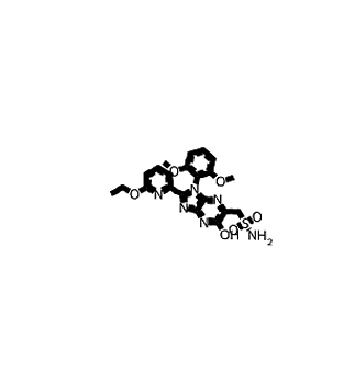 CCOc1cccc(-c2nc3nc(O)c(CS(N)(=O)=O)nc3n2-c2c(OC)cccc2OC)n1